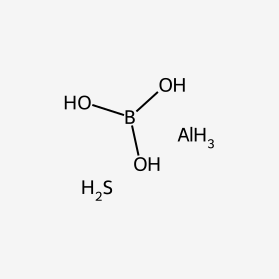 OB(O)O.S.[AlH3]